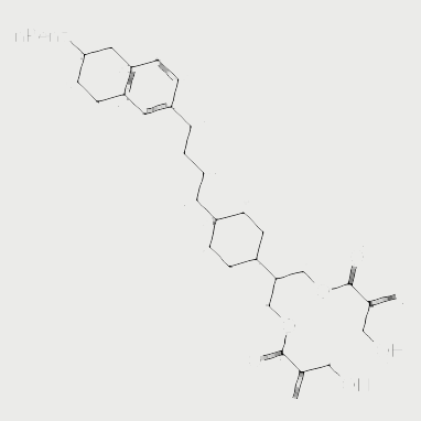 C=C(CO)C(=O)OCC(COC(=O)C(=C)CO)C1CCC(CCCCc2ccc3c(c2)CCC(CCCCC)C3)CC1